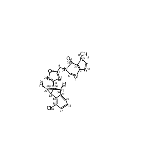 Cn1cnc2ncn(Cc3nc([C@]45C6c7c(Cl)cccc7[C@@H]4[C@H]65)no3)c(=O)c21